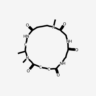 CC1CNC(=O)CCN(C)C(=O)CNC(=O)CNC(=O)CCC(=O)N1C